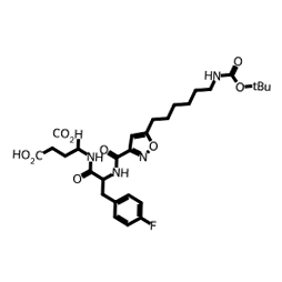 CC(C)(C)OC(=O)NCCCCCCc1cc(C(=O)NC(Cc2ccc(F)cc2)C(=O)NC(CCC(=O)O)C(=O)O)no1